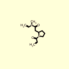 C=CC(=O)N1CCCC1CC(=O)N(C)C=C